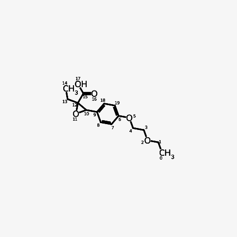 CCOCCOc1ccc(C2OC2(CC)C(=O)O)cc1